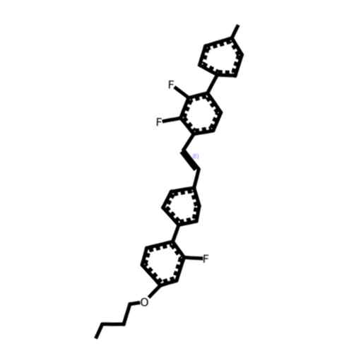 CCCCOc1ccc(-c2ccc(/C=C/c3ccc(-c4ccc(C)cc4)c(F)c3F)cc2)c(F)c1